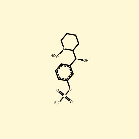 O=C(O)N1CCCCC1[C@@H](O)c1cccc(OS(=O)(=O)C(F)(F)F)c1